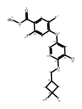 CC(C)(C)OC(=O)c1cc(F)c(Oc2cnc(OCC3CC(F)(F)C3)c(Cl)c2)cc1F